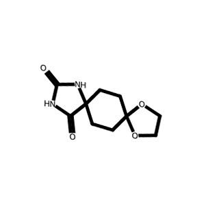 O=C1NC(=O)C2(CCC3(CC2)OCCO3)N1